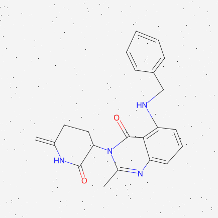 C=C1CCC(n2c(C)nc3cccc(NCc4ccccc4)c3c2=O)C(=O)N1